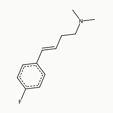 CN(C)CC/C=C/c1ccc(F)cc1